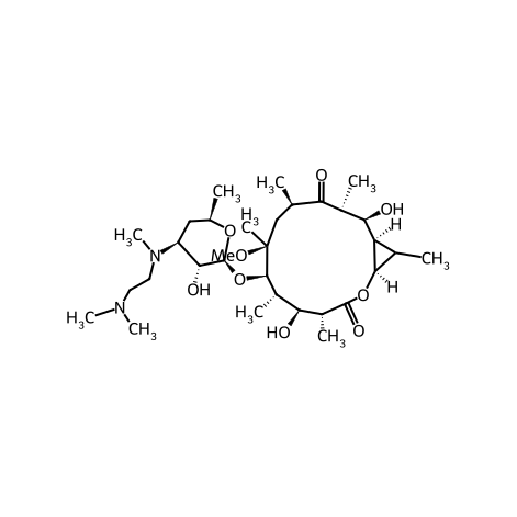 CO[C@@]1(C)C[C@@H](C)C(=O)[C@H](C)[C@@H](O)[C@H]2C(C)[C@H]2OC(=O)[C@H](C)[C@@H](O)[C@H](C)[C@H]1O[C@@H]1O[C@H](C)C[C@H](N(C)CCN(C)C)[C@H]1O